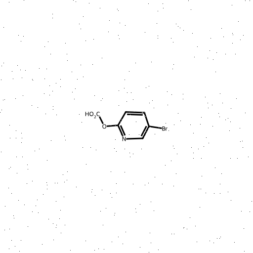 O=C(O)Oc1ccc(Br)cn1